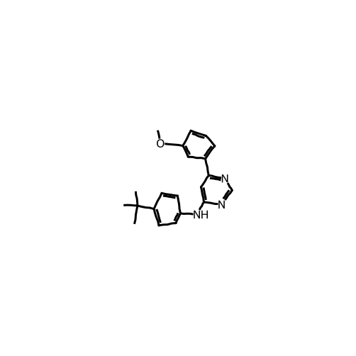 COc1cccc(-c2cc(Nc3ccc(C(C)(C)C)cc3)ncn2)c1